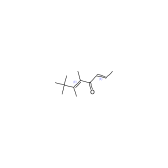 C/C=C/C(=O)/C(C)=C(\C)C(C)(C)C